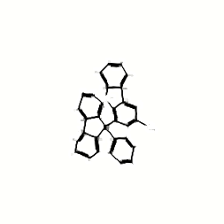 Clc1cc(C2(c3ccccc3)c3ccccc3-c3ccccc32)c2sc3ccccc3c2c1